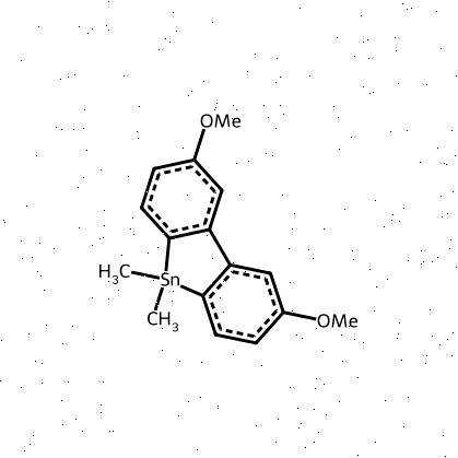 COc1cc[c]2c(c1)-c1cc(OC)cc[c]1[Sn]2([CH3])[CH3]